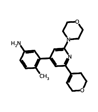 Cc1ccc(N)cc1-c1cc(C2=CCOCC2)nc(N2CCOCC2)c1